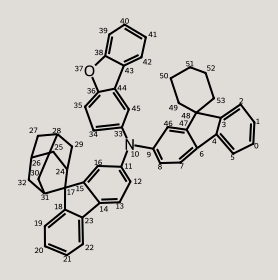 c1ccc2c(c1)-c1ccc(N(c3ccc4c(c3)C3(c5ccccc5-4)C4CC5CC(C4)CC3C5)c3ccc4oc5ccccc5c4c3)cc1C21CCCCC1